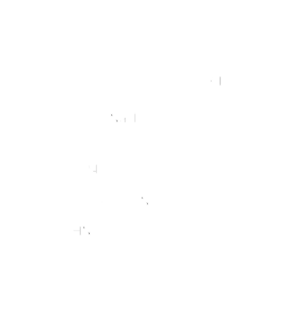 N=C(S)Nc1ccc(C(F)(F)F)cc1.[NaH]